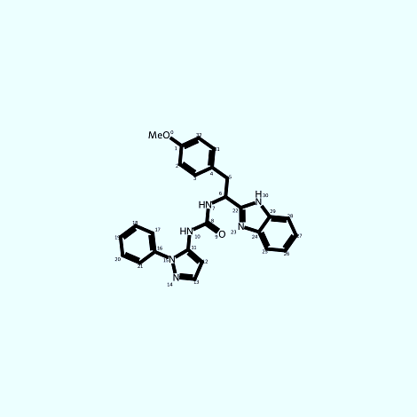 COc1ccc(CC(NC(=O)Nc2ccnn2-c2ccccc2)c2nc3ccccc3[nH]2)cc1